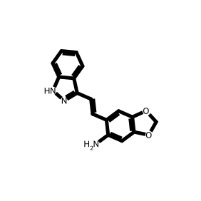 Nc1cc2c(cc1C=Cc1n[nH]c3ccccc13)OCO2